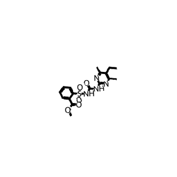 CCc1c(C)nc(NC(=O)NS(=O)(=O)c2ccccc2C(=O)OC)nc1C